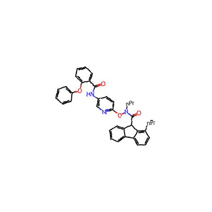 CCCc1cccc2c1C(C(=O)N(CCC)Oc1ccc(NC(=O)c3ccccc3Oc3ccccc3)cn1)c1ccccc1-2